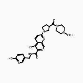 N#Cc1ccc(CNC(=O)c2ncc3nc(N4CCC(C(=O)N5CCN(C(=O)O)CC5)C4)ccc3c2O)cn1